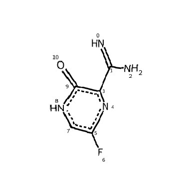 N=C(N)c1nc(F)c[nH]c1=O